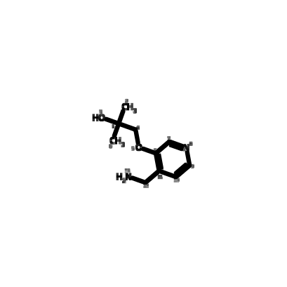 CC(C)(O)COc1cnccc1CN